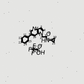 O=C(Cn1ccc2ncc(-c3ccccc3)cc21)NC1CC1.O=C(O)C(F)(F)F